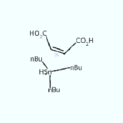 CCC[CH2][SnH]([CH2]CCC)[CH2]CCC.O=C(O)/C=C\C(=O)O